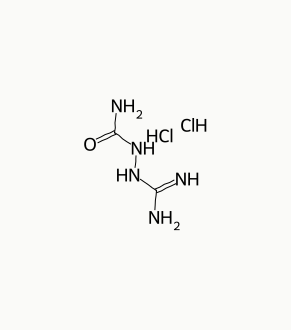 Cl.Cl.N=C(N)NNC(N)=O